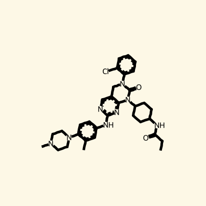 CCC(=O)NC1CCC(N2C(=O)N(c3ccccc3Cl)Cc3cnc(Nc4ccc(N5CCN(C)CC5)c(C)c4)nc32)CC1